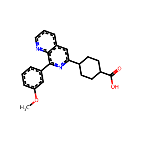 COc1cccc(-c2nc(C3CCC(C(=O)O)CC3)cc3cccnc23)c1